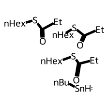 CCCCCCSC(=O)CC.CCCCCCSC(=O)CC.CCCCCCSC(=O)CC.CCC[CH2][SnH]